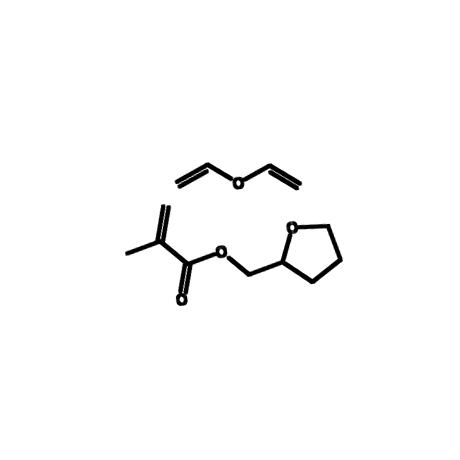 C=C(C)C(=O)OCC1CCCO1.C=COC=C